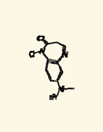 CCCN(C)c1ccc2c(c1)N=CCC(=O)N2Cl